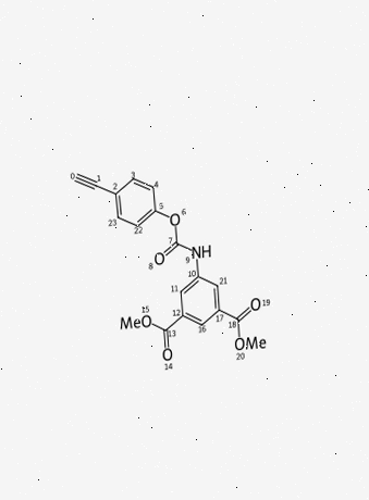 C#Cc1ccc(OC(=O)Nc2cc(C(=O)OC)cc(C(=O)OC)c2)cc1